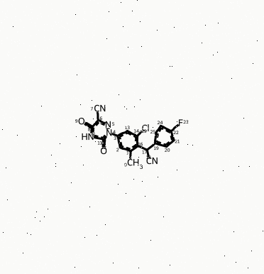 Cc1cc(-n2nc(C#N)c(=O)[nH]c2=O)cc(Cl)c1C(C#N)c1ccc(F)cc1